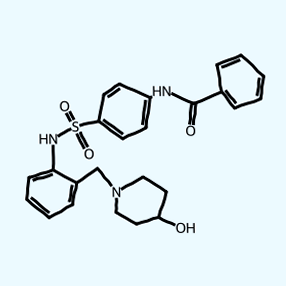 O=C(Nc1ccc(S(=O)(=O)Nc2ccccc2CN2CCC(O)CC2)cc1)c1ccccc1